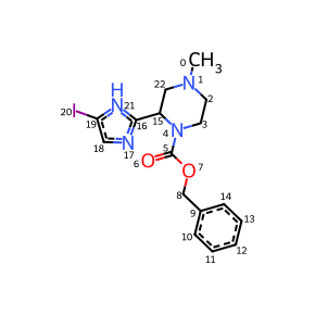 CN1CCN(C(=O)OCc2ccccc2)C(c2ncc(I)[nH]2)C1